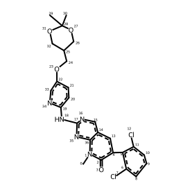 Cn1c(=O)c(-c2c(Cl)cccc2Cl)cc2cnc(Nc3ccc(OCC4COC(C)(C)OC4)cn3)nc21